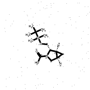 CC(C)(C)[Si](C)(C)OC[C@@H]1[C@H]2C[C@H]2CN1C(=O)O